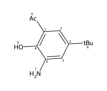 CC(=O)c1cc(C(C)(C)C)cc(N)c1O